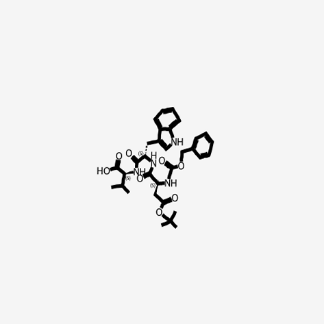 CC(C)[C@H](NC(=O)[C@H](Cc1c[nH]c2ccccc12)NC(=O)[C@H](CC(=O)OC(C)(C)C)NC(=O)OCc1ccccc1)C(=O)O